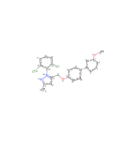 CC(C)Oc1cccc(-c2ccc(OCc3cc(C(F)(F)F)nn3-c3c(Cl)cccc3Cl)cc2)c1